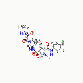 Cc1cc(NC(=O)c2c3c(cn2C)S(=O)(=O)N[C@H]2CN(C(=O)C(=O)NCC(C)C)C[C@H]2CO3)ccc1F